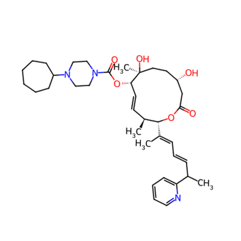 C/C(=C\C=C\C(C)c1ccccn1)[C@H]1OC(=O)C[C@@H](O)CC[C@](C)(O)[C@@H](OC(=O)N2CCN(C3CCCCCC3)CC2)/C=C/[C@@H]1C